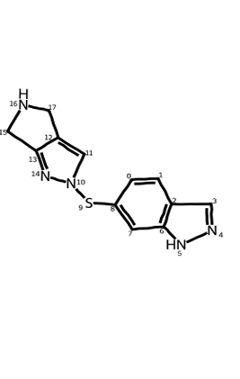 c1cc2cn[nH]c2cc1Sn1cc2c(n1)CNC2